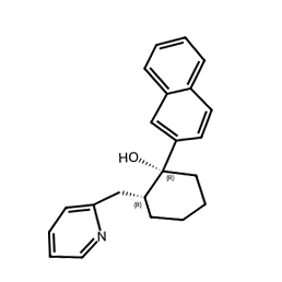 O[C@]1(c2ccc3ccccc3c2)CCCC[C@@H]1Cc1ccccn1